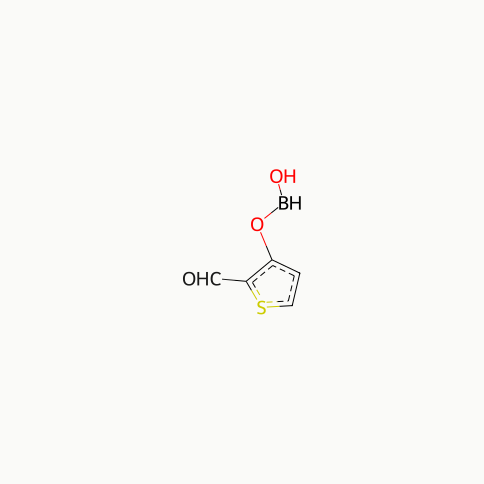 O=Cc1sccc1OBO